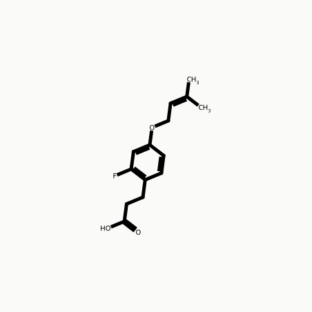 CC(C)=CCOc1ccc(CCC(=O)O)c(F)c1